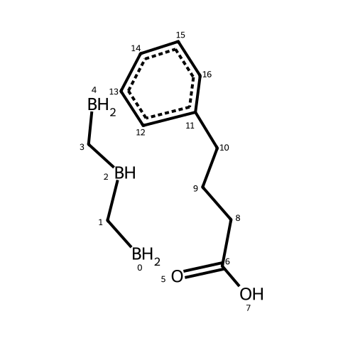 BCBCB.O=C(O)CCCc1ccccc1